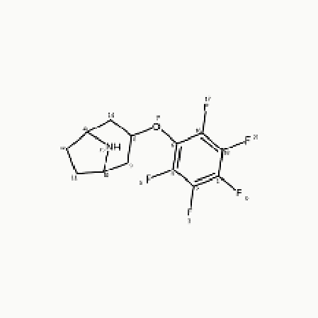 Fc1c(F)c(F)c(OC2CC3CCC(C2)N3)c(F)c1F